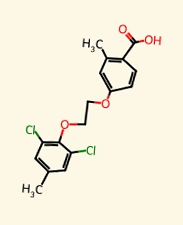 Cc1cc(Cl)c(OCCOc2ccc(C(=O)O)c(C)c2)c(Cl)c1